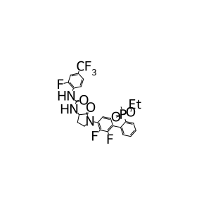 CCOP(C)(=O)c1ccccc1-c1ccc(N2CC[C@@H](NC(=O)Nc3ccc(C(F)(F)F)cc3F)C2=O)c(F)c1F